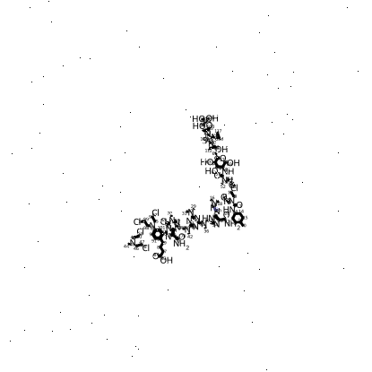 CC1CCC(NC(=O)N(CCCl)N=O)CC1.CN(C)/N=N/c1[nH]cnc1C(N)=O.CN(C)c1nc(N(C)C)nc(N(C)C)n1.CN(CCCl)CCCl.CN(N=O)C(=O)N[C@@H]1[C@@H](O)[C@H](O)[C@@H](CO)O[C@@H]1O.Cn1nnc2c(C(N)=O)ncn2c1=O.O=C(O)CCCc1ccc(N(CCCl)CCCl)cc1.O=P(O)(O)O.S=P(N1CC1)(N1CC1)N1CC1